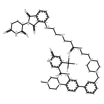 CN1CCN(c2ccc(-c3cccc(CN4CCN(CCNC(=O)CCOCCNc5cccc6c5C(=O)N(C5CCC(=O)NC5=O)C6=O)CC4)c3)cc2NC(=O)c2c[nH]c(=O)cc2C(F)(F)F)CC1